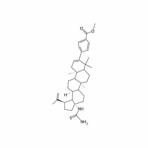 C=C(C)[C@@H]1CC[C@]2(NC(N)=S)CCC3[C@H](CCC4[C@@]3(C)CCC3C(C)(C)C(c5ccc(C(=O)OC)cc5)=CC[C@@]34C)C12